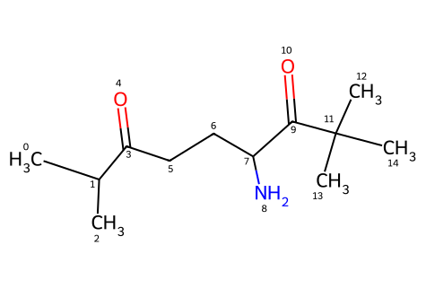 CC(C)C(=O)CCC(N)C(=O)C(C)(C)C